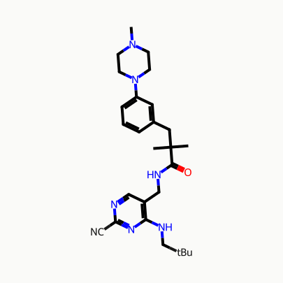 CN1CCN(c2cccc(CC(C)(C)C(=O)NCc3cnc(C#N)nc3NCC(C)(C)C)c2)CC1